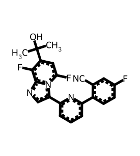 CC(C)(O)c1cc(F)n2c(-c3cccc(-c4ccc(F)cc4C#N)n3)cnc2c1F